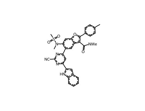 CNC(=O)c1c(-c2ccc(C)cc2)oc2cc(N(C)S(C)(=O)=O)c(-c3cc(-c4cc5ccccc5[nH]4)nc(C#N)n3)cc12